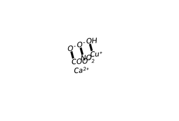 O=C([O-])[O-].O=[N+]([O-])[O-].[Ca+2].[OH][Cu+]